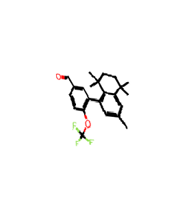 Cc1cc(-c2cc(C=O)ccc2OC(F)(F)F)c2c(c1)C(C)(C)CCC2(C)C